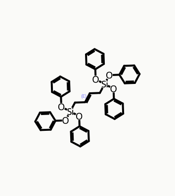 C(=C\C[Si](Oc1ccccc1)(Oc1ccccc1)Oc1ccccc1)/C[Si](Oc1ccccc1)(Oc1ccccc1)Oc1ccccc1